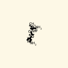 CCn1cc(NC(=O)c2coc(-c3ccnc(N)c3)n2)c(C(N)=O)n1